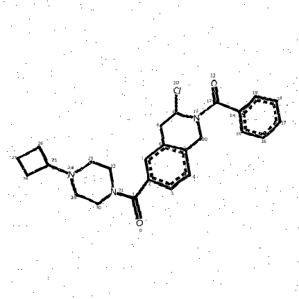 O=C(c1ccc2c(c1)CC(Cl)N(C(=O)c1ccccc1)C2)N1CCN(C2CCC2)CC1